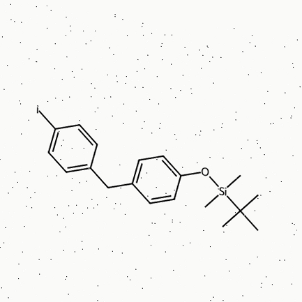 CC(C)(C)[Si](C)(C)Oc1ccc(Cc2ccc(I)cc2)cc1